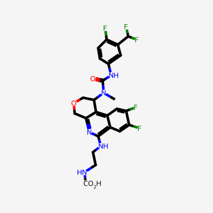 CN(C(=O)Nc1ccc(F)c(C(F)F)c1)C1COCc2nc(NCCNC(=O)O)c3cc(F)c(F)cc3c21